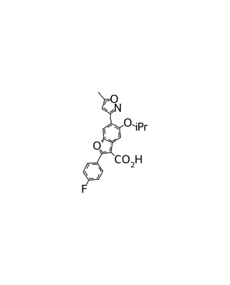 Cc1cc(-c2cc3oc(-c4ccc(F)cc4)c(C(=O)O)c3cc2OC(C)C)no1